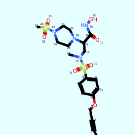 CC#CCOc1ccc(S(=O)(=O)N(C)CC(C(=O)NO)N2CCN(S(C)(=O)=O)CC2)cc1